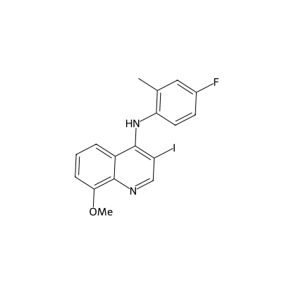 COc1cccc2c(Nc3ccc(F)cc3C)c(I)cnc12